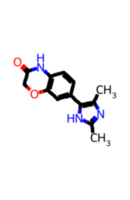 Cc1nc(C)c(-c2ccc3c(c2)OCC(=O)N3)[nH]1